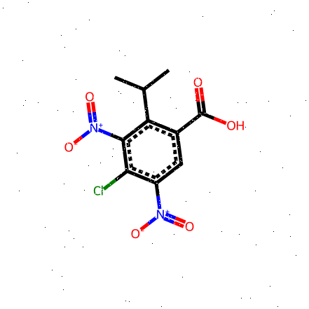 CC(C)c1c(C(=O)O)cc([N+](=O)[O-])c(Cl)c1[N+](=O)[O-]